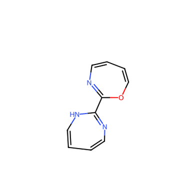 C1=CN=C(C2=NC=CC=CO2)NC=C1